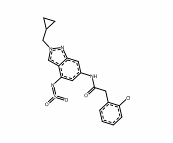 O=C(Cc1ccccc1Cl)Nc1cc(N=S(=O)=O)c2cn(CC3CC3)nc2c1